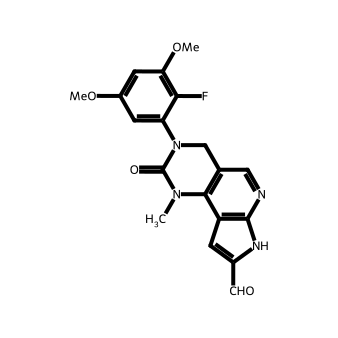 COc1cc(OC)c(F)c(N2Cc3cnc4[nH]c(C=O)cc4c3N(C)C2=O)c1